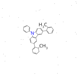 Cc1ccccc1-c1ccc2c(c1)c1cc(C3=CC=CCC3C)ccc1n2-c1ccccc1